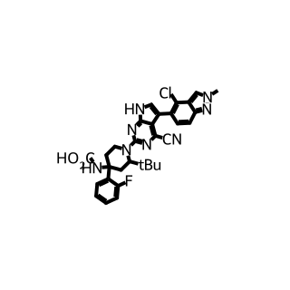 Cn1cc2c(Cl)c(-c3c[nH]c4nc(N5CCC(NC(=O)O)(c6ccccc6F)CC5C(C)(C)C)nc(C#N)c34)ccc2n1